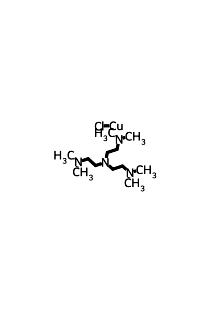 CN(C)CCN(CCN(C)C)CCN(C)C.[Cl][Cu]